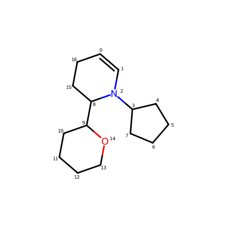 C1=CN(C2CCCC2)C(C2CCCCO2)CC1